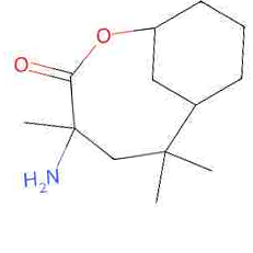 CC1(N)CC(C)(C)C2CCCC(C2)OC1=O